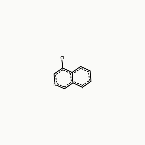 Clc1cncc2[c]cccc12